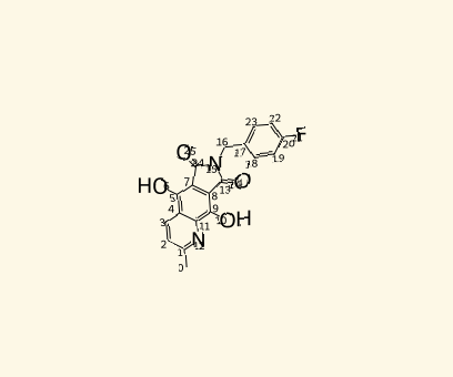 Cc1ccc2c(O)c3c(c(O)c2n1)C(=O)N(Cc1ccc(F)cc1)C3=O